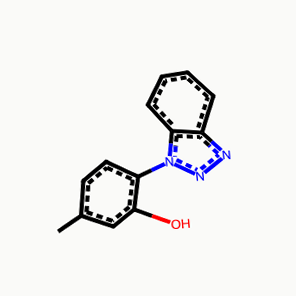 Cc1ccc(-n2nnc3ccccc32)c(O)c1